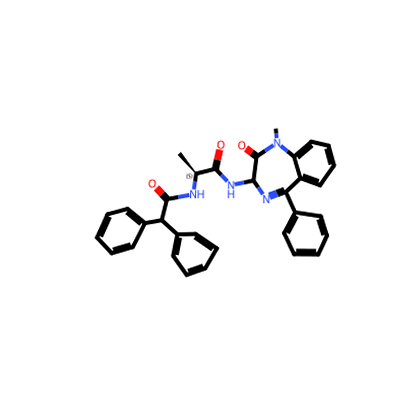 C[C@H](NC(=O)C(c1ccccc1)c1ccccc1)C(=O)NC1N=C(c2ccccc2)c2ccccc2N(C)C1=O